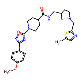 COc1ccc(-c2noc(N3CCC(C(=O)NCC4CCN(Cc5ncc(C)s5)C4)CC3)n2)cc1